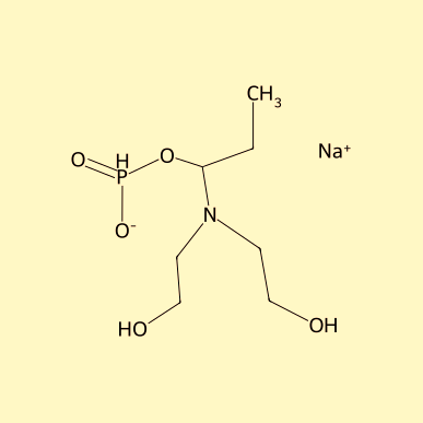 CCC(O[PH](=O)[O-])N(CCO)CCO.[Na+]